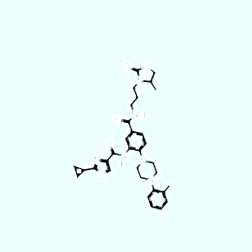 Cc1ccccc1N1CCN(c2ccc(C(=O)NCCCN3C(=O)OCC3C)cc2NC(=O)c2coc(C3CC3)n2)CC1